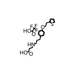 O=C(O)C(F)(F)F.O=C(O)CCNCCCc1ccc(OCCc2cccs2)cc1